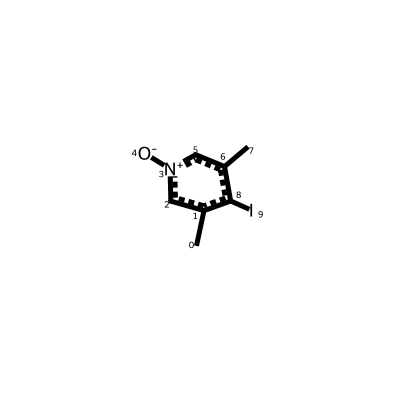 Cc1c[n+]([O-])cc(C)c1I